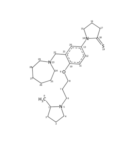 CC1CCCN1CCCOc1ccc(N2CCCC2=S)cc1CN1CCCCCC1